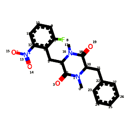 CN1C(=O)C(Cc2c(F)cccc2[N+](=O)[O-])N(C)C(=O)C1Cc1ccccc1